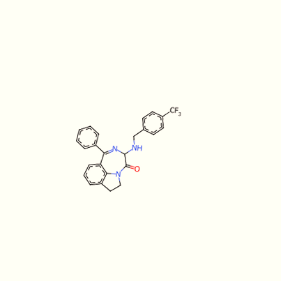 O=C1C(NCc2ccc(C(F)(F)F)cc2)N=C(c2ccccc2)c2cccc3c2N1CC3